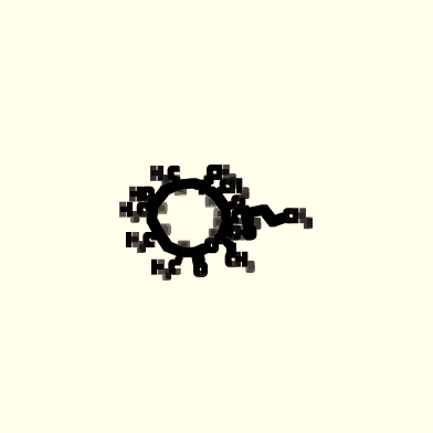 CCCC(=O)O[C@@H]1[C@@H](C)N(C)C[C@H](C)C[C@@](C)(O)C[C@@H](C)C[C@@H](C)C(=O)O[C@H](CC)[C@@]1(C)O